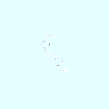 COc1ccc(Cc2nc3cc([N+](=O)[O-])cnc3[nH]2)cc1